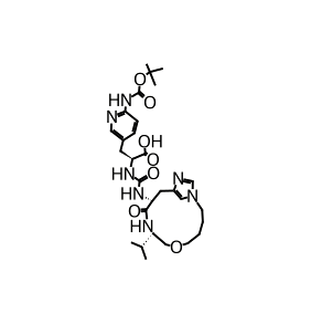 CC(C)[C@H]1COCCCCn2cnc(c2)C[C@@H](NC(=O)N[C@@H](Cc2ccc(NC(=O)OC(C)(C)C)nc2)C(=O)O)C(=O)N1